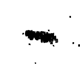 CC[Si](CC)(CC)OC(C)(C)[C@H](F)CC[C@@H](C)[C@H]1CC[C@H]2C(=CCS(=O)(=O)c3nc4ccccc4s3)CCC[C@]12C